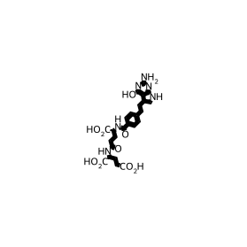 Nc1nc(O)c2c(n1)NCC2CCc1ccc(C(=O)N[C@@H](CCC(=O)N[C@@H](CCC(=O)O)C(=O)O)C(=O)O)cc1